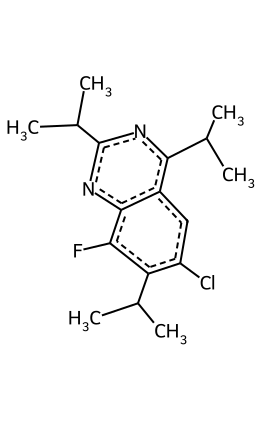 CC(C)c1nc(C(C)C)c2cc(Cl)c(C(C)C)c(F)c2n1